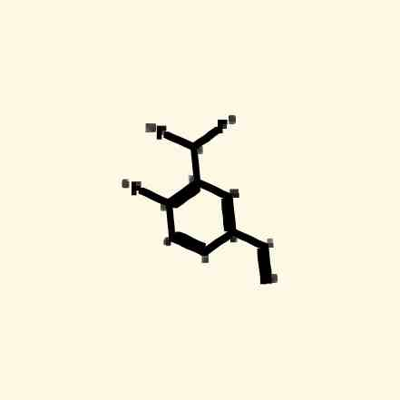 C=Cc1ccc(F)c(C(F)F)c1